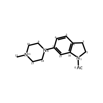 CC(=O)N1CCc2ccc(N3CCN(C)CC3)cc21